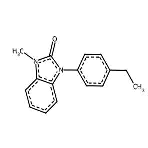 CCc1ccc(-n2c(=O)n(C)c3ccccc32)cc1